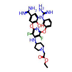 CCOC(=O)CN1CCC(Nc2c(F)c(Oc3cccc(NC(=N)N)c3)nc(Oc3cc(C(=N)N)ccc3O)c2F)CC1